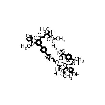 C=C(C)NC(=O)/C(=C/C)CCC(=O)c1cc(-c2ccc(-c3cn(CCOCC(=O)N[C@H](C(=O)N4C[C@H](O)C[C@H]4C(=O)N[C@@H](C)c4ccc(-c5scnc5C)cc4)C(C)(C)C)nn3)cc2)cc(N(CC)C2CCOCC2)c1C